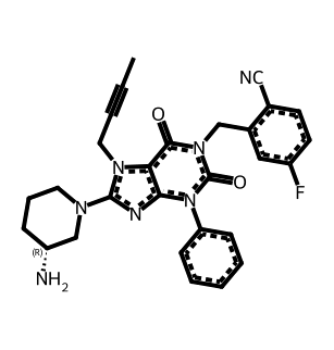 CC#CCn1c(N2CCC[C@@H](N)C2)nc2c1c(=O)n(Cc1cc(F)ccc1C#N)c(=O)n2-c1ccccc1